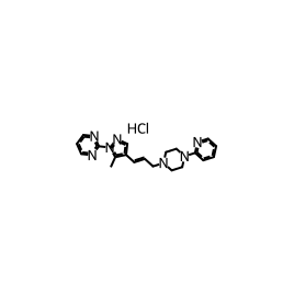 Cc1c(C=CCN2CCN(c3ccccn3)CC2)cnn1-c1ncccn1.Cl